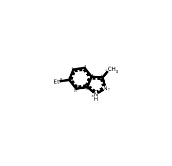 CCc1ccc2c(C)n[nH]c2c1